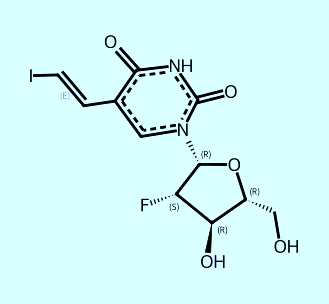 O=c1[nH]c(=O)n([C@@H]2O[C@H](CO)[C@@H](O)[C@@H]2F)cc1/C=C/I